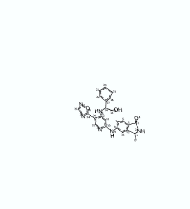 CC1NC(=O)c2ccc(Nc3cc(N[C@H](CO)c4ccccc4)c(-c4ncno4)cn3)cc21